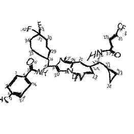 N#Cc1ccc(C(=O)N[C@H](c2cn3ncc([C@H](NC(=O)CCC(F)(F)F)C4CC4)cc3n2)C2CCC(F)(F)CC2)cc1